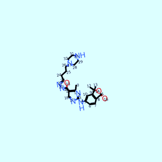 Cc1nc(Nc2ccc3c(c2)C(C)(C)OC3=O)ncc1-c1nnc(CCCN2CCNCC2)o1